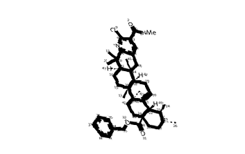 CNC(=O)c1cc2c(nc1Cl)C(C)(C)[C@@H]1CC[C@]3(C)[C@H](CC=C4[C@@H]5[C@@H](C)[C@H](C)CC[C@]5(C(=O)OCc5ccccc5)CC[C@]43C)[C@@]1(C)C2